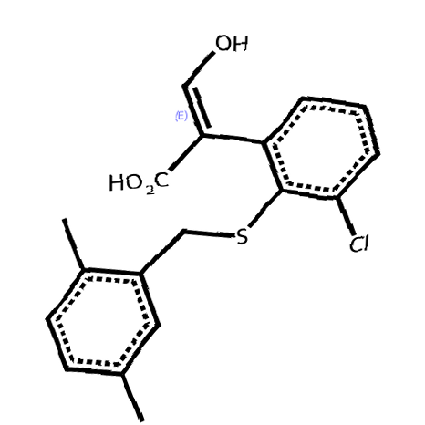 Cc1ccc(C)c(CSc2c(Cl)cccc2/C(=C\O)C(=O)O)c1